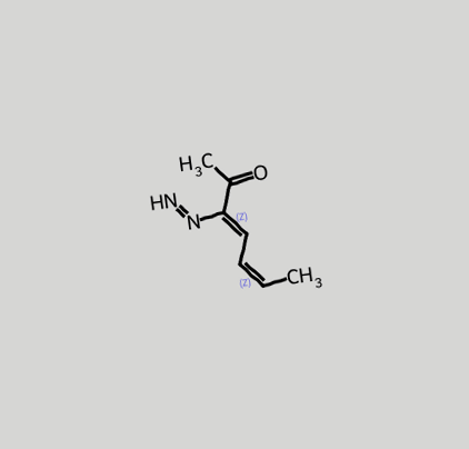 C/C=C\C=C(/N=N)C(C)=O